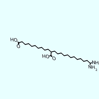 NC(N)CCCCCCCCCCCC(CCCCCCCCCC(=O)O)C(=O)O